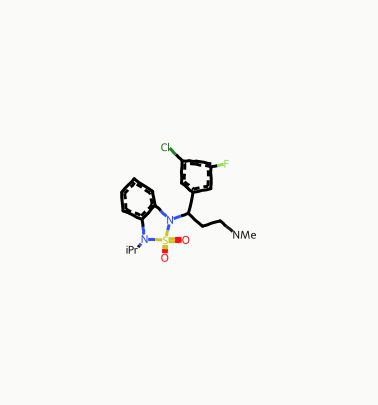 CNCCC(c1cc(F)cc(Cl)c1)N1c2ccccc2N(C(C)C)S1(=O)=O